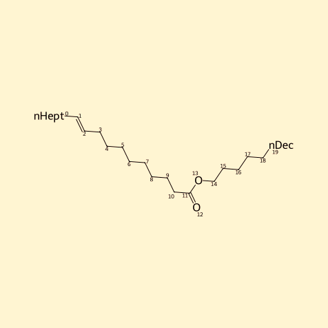 CCCCCCCC=CCCCCCCCCC(=O)OCCCCCCCCCCCCCCC